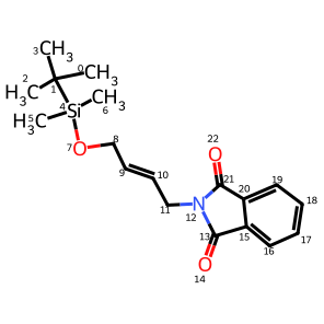 CC(C)(C)[Si](C)(C)OCC=CCN1C(=O)c2ccccc2C1=O